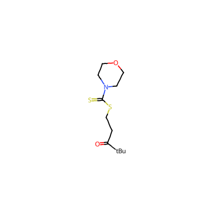 CC(C)(C)C(=O)CCSC(=S)N1CCOCC1